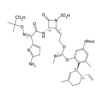 C=C[C@@H]1CCC(C)=C[C@H]1c1c(C)cc(CCCCC)cc1O/C(=N\C)OC/C=C1\[C@H](NC(=O)/C(=N\OC(C)(C)C(=O)O)C2=CCC(N)=N2)C(=O)N1S(=O)(=O)O